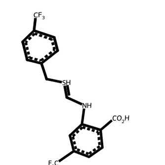 O=C(O)c1ccc(C(F)(F)F)cc1NC=[SH]Cc1ccc(C(F)(F)F)cc1